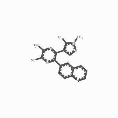 Cc1c(-c2nc(N)c(C#N)nc2-c2ccc3ncccc3c2)cnn1C